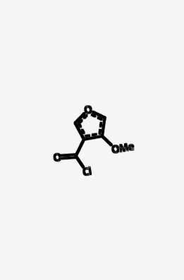 COc1cocc1C(=O)Cl